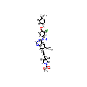 COc1ccc(COc2ccc(Nc3ncnc4cc(C#CC5[C@H]6CN(C(=O)OC(C)(C)C)C[C@@H]56)c([N+](=O)[O-])cc34)cc2Cl)cc1